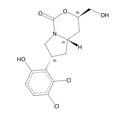 O=C1O[C@@H](CO)C[C@@H]2C[C@H](c3c(O)ccc(Cl)c3Cl)CN12